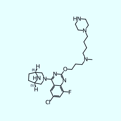 CN(CCCCN1CCNCC1)CCCOc1nc(N2C[C@H]3CC[C@@H](C2)N3)c2cc(Cl)cc(F)c2n1